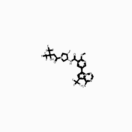 COc1ncc(-c2cc(C(F)(F)F)c3c(N)ncnn23)cc1C(=O)N[C@@H]1CN(C(=O)CC(O)(C(F)(F)F)C(F)(F)F)C[C@@H]1F